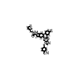 N#Cc1ccc(Cn2cncc2CN(C(=O)c2cccc(F)c2)c2ccc3sc(C(=O)NCc4cccs4)cc3c2)cc1